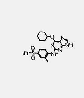 Cc1cc(S(=O)(=O)C(C)C)ccc1Nc1nc(OC2CCCCC2)c2nc[nH]c2n1